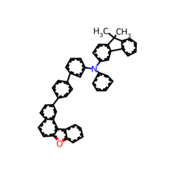 CC1(C)c2ccccc2-c2cc(N(c3ccccc3)c3cccc(-c4ccc(-c5ccc6ccc7oc8ccccc8c7c6c5)cc4)c3)ccc21